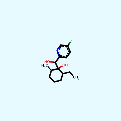 CCC1CCC[C@@H](C)C1(O)C(O)c1ccc(F)cn1